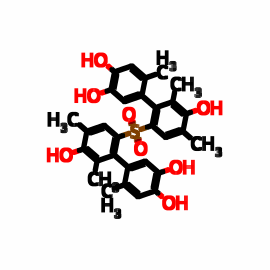 Cc1cc(O)c(O)cc1-c1c(S(=O)(=O)c2cc(C)c(O)c(C)c2-c2cc(O)c(O)cc2C)cc(C)c(O)c1C